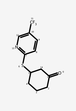 O=C1CCCC(Sc2ccc(C(F)(F)F)cn2)C1